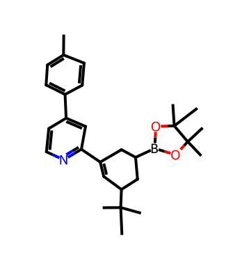 Cc1ccc(-c2ccnc(C3=CC(C(C)(C)C)CC(B4OC(C)(C)C(C)(C)O4)C3)c2)cc1